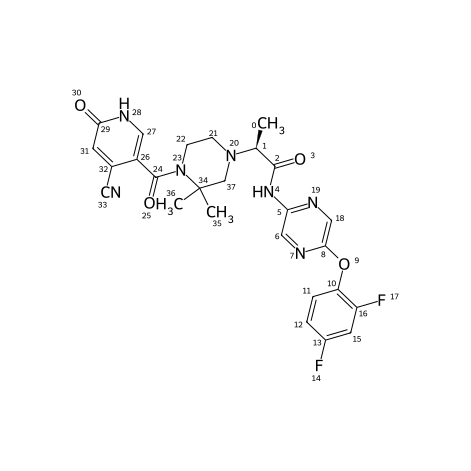 C[C@@H](C(=O)Nc1cnc(Oc2ccc(F)cc2F)cn1)N1CCN(C(=O)c2c[nH]c(=O)cc2C#N)C(C)(C)C1